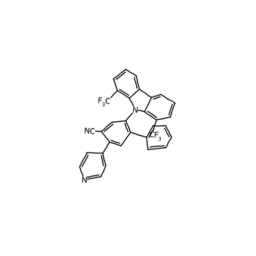 N#Cc1cc(-n2c3c(C(F)(F)F)cccc3c3cccc(C(F)(F)F)c32)c(-c2ccccc2)cc1-c1ccncc1